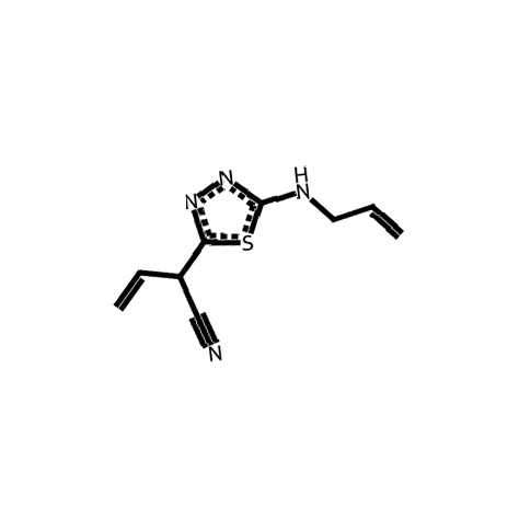 C=CCNc1nnc(C(C#N)C=C)s1